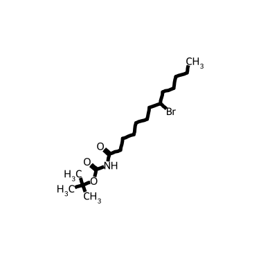 CCCCCC(Br)CCCCCCC(=O)NC(=O)OC(C)(C)C